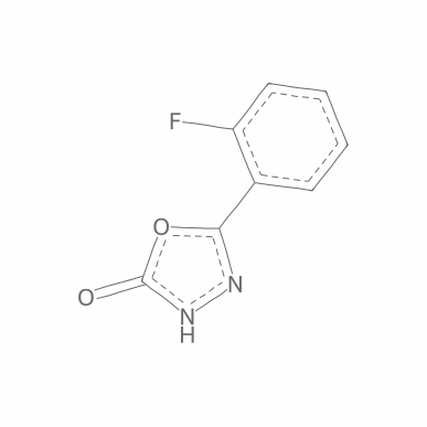 O=c1[nH]nc(-c2ccccc2F)o1